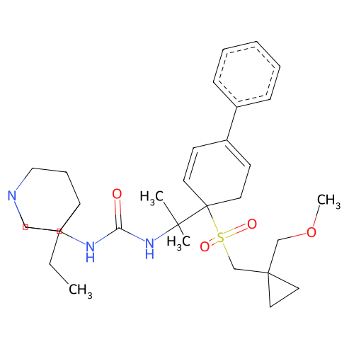 CCC1(NC(=O)NC(C)(C)C2(S(=O)(=O)CC3(COC)CC3)C=CC(c3ccccc3)=CC2)CN2CCC1CC2